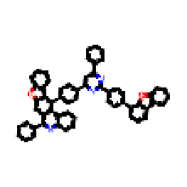 c1ccc(-c2cc(-c3ccc(-c4c5c(cc6c(-c7ccccc7)nc7ccccc7c46)oc4ccccc45)cc3)nc(-c3ccc(-c4cccc5c4oc4ccccc45)cc3)n2)cc1